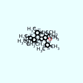 COc1c(C(C)(C)C)cc2c(c1-c1cc(C)cc(C)c1)C=C(C)C2c1c(C)cc(C)cc1-c1cc(C)cc2c1C=C(C)C2[SiH](C)C